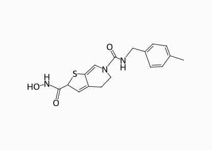 Cc1ccc(CNC(=O)N2C=C3SC(C(=O)NO)C=C3CC2)cc1